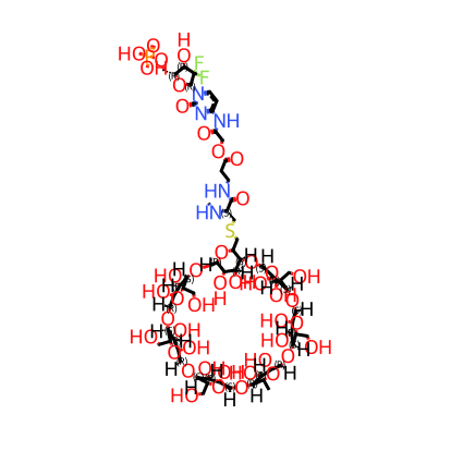 CN[C@H](CSCC1O[C@H]2O[C@@H]3C(CO)O[C@H](O[C@@H]4C(CO)O[C@H](O[C@@H]5C(CO)O[C@@H](O[C@H]6C(C)O[C@H](O[C@@H]7C(CO)O[C@@H](O[C@@H]8C(CO)O[C@@H](O[C@H]1[C@H](O)C2O)C(O)[C@H]8O)C(O)[C@H]7O)C(O)[C@H]6O)C(O)[C@H]5O)C(O)[C@H]4O)C(O)[C@H]3O)C(=O)NCCC(=O)OCC(=O)Nc1ccn([C@@H]2O[C@H](COP(=O)(O)O)[C@@H](O)C2(F)F)c(=O)n1